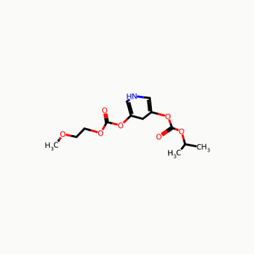 COCCOC(=O)OC1=CNC=C(OC(=O)OC(C)C)C1